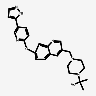 CC(=O)C(C)(C)N1CCN(Cc2cnc3cc(Oc4ccc(-c5ccn[nH]5)cn4)ccc3c2)CC1